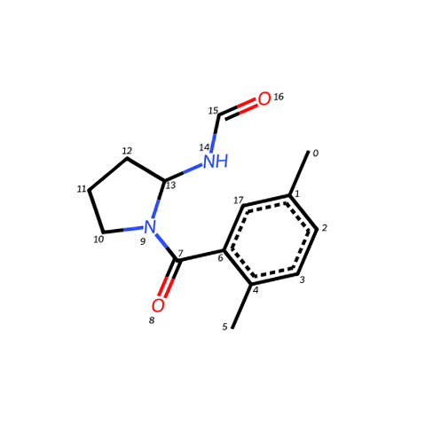 Cc1ccc(C)c(C(=O)N2CCCC2NC=O)c1